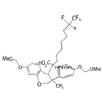 CCCCCCCCCC(CCCCCCC(F)(F)C(F)(F)F)(C(=O)O)C1c2ccc(OCOC)cc2OCC1(C)c1ccc(OCOC)cc1